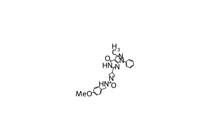 COc1ccc(CNC(=O)N2CC(c3nc4c(c(C)nn4-c4ccccc4)c(=O)[nH]3)C2)cc1